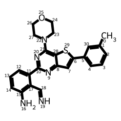 Cc1cccc(-c2cc3nc(-c4cccc(N)c4C=N)nc(N4CCOCC4)c3s2)c1